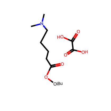 CC(C)COOC(=O)CCCCN(C)C.O=C(O)C(=O)O